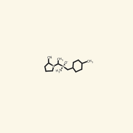 CC1CCC(C[N+](N)([O-])C(C)N2CCCC2C#N)CC1